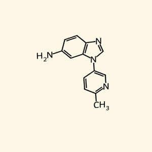 Cc1ccc(-n2cnc3ccc(N)cc32)cn1